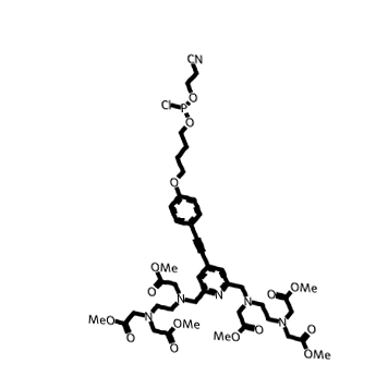 COC(=O)CN(CCN(CC(=O)OC)Cc1cc(C#Cc2ccc(OCCCCOP(Cl)OCCC#N)cc2)cc(CN(CCN(CC(=O)OC)CC(=O)OC)CC(=O)OC)n1)CC(=O)OC